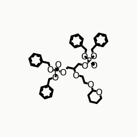 O=P(OCc1ccccc1)(OCc1ccccc1)OCC(COP(=O)(OCc1ccccc1)OCc1ccccc1)OCCOC1CCCCO1